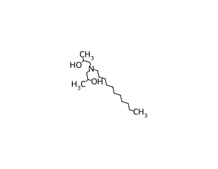 CCCCCCCCCCCN(CC(C)O)CC(C)O